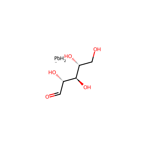 O=C[C@H](O)[C@H](O)[C@H](O)CO.[PbH2]